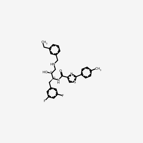 CCc1cccc(CNC[C@H](O)[C@H](Cc2cc(F)cc(F)c2)NC(=O)c2csc(-c3ccc(C)cc3)n2)c1